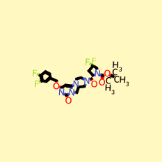 CC(C)(C)OC(=O)N1CC(F)(F)C[C@H]1C(=O)N1CCN2c3cc(OCc4ccc(F)c(F)c4)nc(=O)n3CC2C1